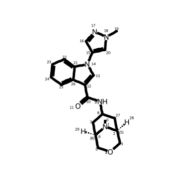 CN1[C@@H]2COC[C@H]1CC(NC(=O)c1cn(-c3cnn(C)c3)c3ccccc13)C2